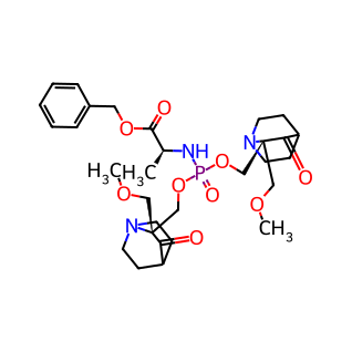 COC[C@@]1(COP(=O)(N[C@@H](C)C(=O)OCc2ccccc2)OC[C@]2(COC)C(=O)C3CCN2CC3)C(=O)C2CCN1CC2